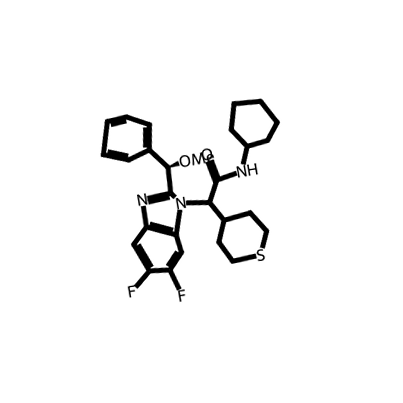 CO[C@H](c1ccccc1)c1nc2cc(F)c(F)cc2n1C(C(=O)NC1CCCCC1)C1CCSCC1